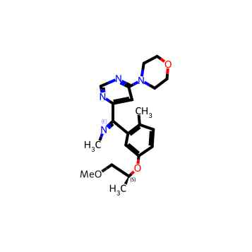 C/N=C(/c1cc(N2CCOCC2)ncn1)c1cc(O[C@@H](C)COC)ccc1C